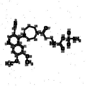 COc1cc2ncc(C#N)c(N3CCCN(C(=O)CCNC(=O)OS(N)(=O)=O)CC3)c2cc1OC